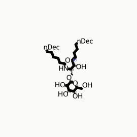 CCCCCCCCCCCCC/C=C/[C@@H](O)[C@H](CO[C@@H]1OC(CO)[C@H](O)[C@H](O)C1O)NC(=O)CCCCCCCCCCCCCCC